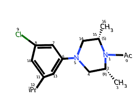 CC(=O)N1[C@H](C)CN(c2cc(Cl)cc(C(C)C)c2)C[C@@H]1C